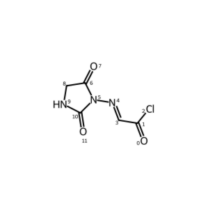 O=C(Cl)C=NN1C(=O)CNC1=O